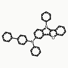 c1ccc(-c2ccc(N(c3ccccc3)c3ccc4c(c3)c3oc5ccccc5c3n4-c3ccccc3)cc2)cc1